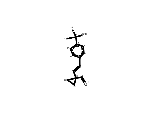 O=CC1(/C=C/c2ccc(C(F)(F)F)cc2)CC1